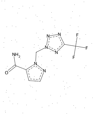 NC(=O)c1ccnn1Cn1nnc(C(F)(F)F)n1